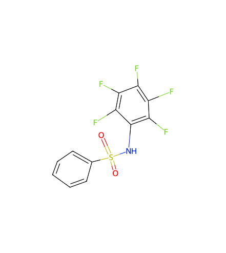 O=S(=O)(Nc1c(F)c(F)c(F)c(F)c1F)c1ccccc1